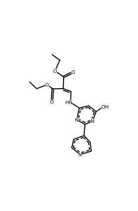 CCOC(=O)C(=CNc1cc(O)nc(-c2ccncc2)n1)C(=O)OCC